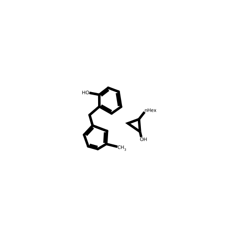 CCCCCCC1CC1O.Cc1cccc(Cc2ccccc2O)c1